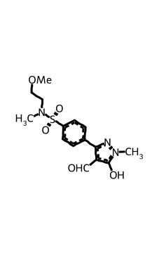 COCCN(C)S(=O)(=O)c1ccc(-c2nn(C)c(O)c2C=O)cc1